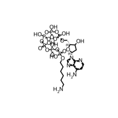 NCCCCCCOP(=O)(O)OP(=O)(O)OP(=O)(O)OP(=O)(O)OP(=O)(O)OP(=O)(O)OC[C@H]1O[C@@H](n2cnc3c(N)ccnc32)CC1O